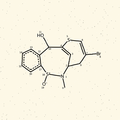 CN1C2C=C(SC=C(Br)C2)C(O)c2ccccc2[S+]1[O-]